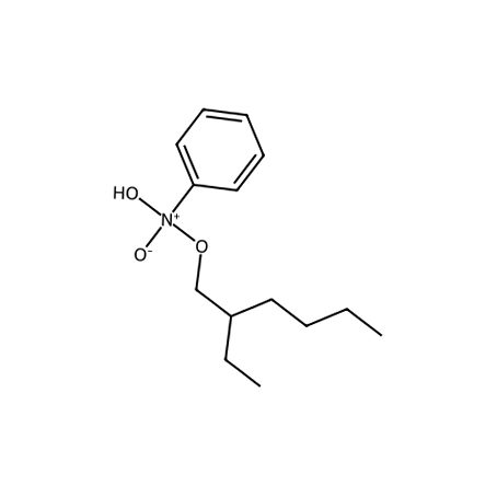 CCCCC(CC)CO[N+]([O-])(O)c1ccccc1